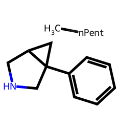 CCCCCC.c1ccc(C23CNCC2C3)cc1